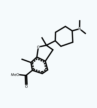 COC(=O)c1ccc2c(c1C)OC(C)(C1CCC(N(C)C)CC1)C2